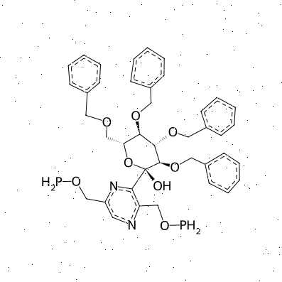 O[C@@]1(c2nc(COP)cnc2COP)O[C@H](COCc2ccccc2)[C@@H](OCc2ccccc2)[C@H](OCc2ccccc2)[C@H]1OCc1ccccc1